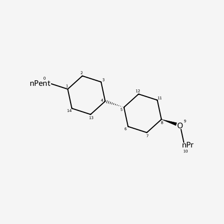 CCCCCC1CCC([C@H]2CC[C@H](OCCC)CC2)CC1